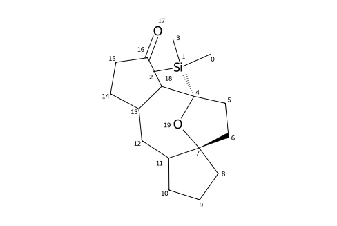 C[Si](C)(C)[C@@]12CC[C@]3(CCCC3CC3CCC(=O)C31)O2